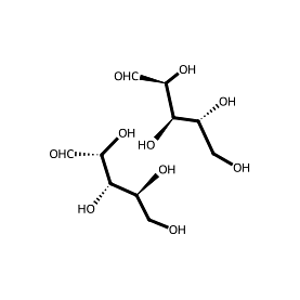 O=C[C@@H](O)[C@H](O)[C@H](O)CO.O=C[C@H](O)[C@@H](O)[C@@H](O)CO